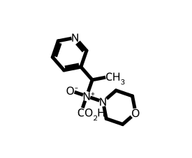 CC(c1cccnc1)[N+]([O-])(C(=O)O)N1CCOCC1